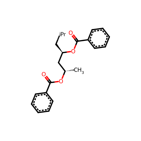 CC(C)C[C@H](C[C@H](C)OC(=O)c1ccccc1)OC(=O)c1ccccc1